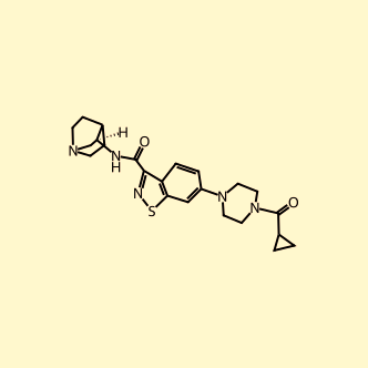 O=C(N[C@H]1CN2CCC1CC2)c1nsc2cc(N3CCN(C(=O)C4CC4)CC3)ccc12